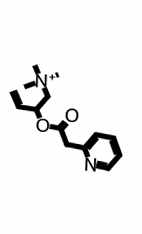 C=CC(C[N+](C)(C)C)OC(=O)Cc1ccccn1